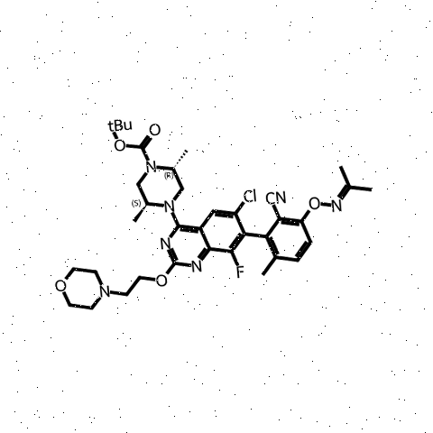 CC(C)=NOc1ccc(C)c(-c2c(Cl)cc3c(N4C[C@@H](C)N(C(=O)OC(C)(C)C)C[C@@H]4C)nc(OCCN4CCOCC4)nc3c2F)c1C#N